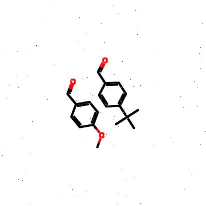 CC(C)(C)c1ccc(C=O)cc1.COc1ccc(C=O)cc1